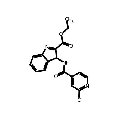 CCOC(=O)C1=Nc2ccccc2C1NC(=O)c1ccnc(Cl)c1